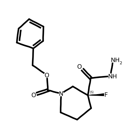 NNC(=O)[C@]1(F)CCCN(C(=O)OCc2ccccc2)C1